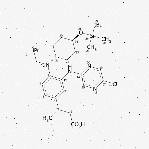 CC(C)CN(c1ccc(C(C)CC(=O)O)cc1Nc1cnc(Cl)cn1)[C@H]1CC[C@H](O[Si](C)(C)C(C)(C)C)CC1